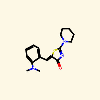 CN(C)c1ccccc1C=C1SC(N2CCCCC2)=NC1=O